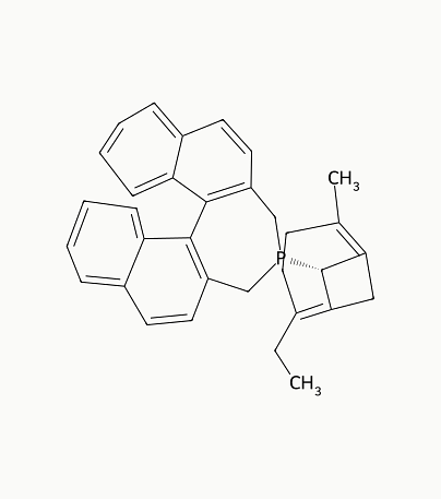 CCC1=C2CC(=C(C)CC1)[C@H]2P1Cc2ccc3ccccc3c2-c2c(ccc3ccccc23)C1